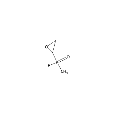 CP(=O)(F)C1CO1